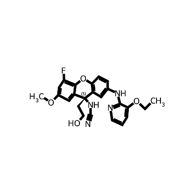 CCOc1cccnc1Nc1ccc2c(c1)[C@](CCO)(NC#N)c1cc(OC)cc(F)c1O2